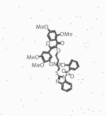 COc1cc(OC)c2c(=O)c(OCCCCSc3nc4ccccc4n3S(=O)(=O)c3ccccc3Cl)c(-c3cc(OC)c(OC)c(OC)c3)oc2c1